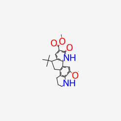 COC(=O)c1cc2c([nH]c1=O)-c1cc(OC)c3c(c1CC2C(C)(C)C)CCCN3